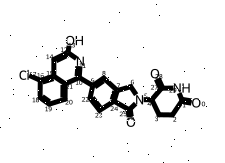 O=C1CCC(N2Cc3cc(-c4nc(O)cc5c(Cl)cccc45)ccc3C2=O)C(=O)N1